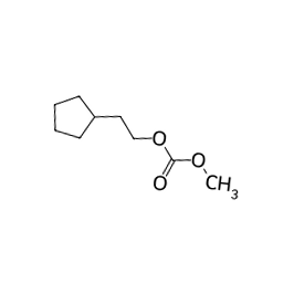 COC(=O)OCCC1CCCC1